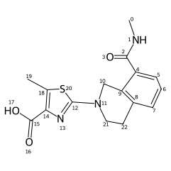 CNC(=O)c1cccc2c1CN(c1nc(C(=O)O)c(C)s1)CC2